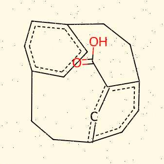 O=C(O)c1cc2ccc1CCc1ccc(cc1)CC2